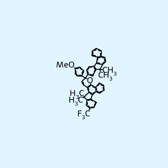 COc1ccc(C2(c3ccc4c(c3)C(C)(C)c3ccc5ccccc5c3-4)C=Cc3c4c(c5ccccc5c3O2)-c2ccc(C(F)(F)F)cc2C4(C)C)cc1